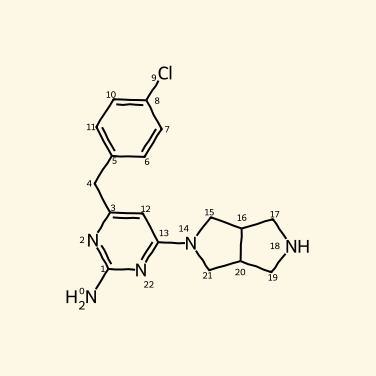 Nc1nc(Cc2ccc(Cl)cc2)cc(N2CC3CNCC3C2)n1